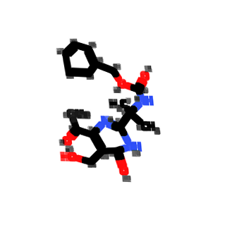 COC(=O)c1nc(C(C)(C)NC(=O)OCc2ccccc2)[nH]c(=O)c1CO